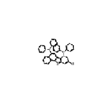 ClC1=Cc2sc3c(cc(N(c4ccccc4)c4ccccc4)c4ccccc43)c2C(N(C2=CCCC=C2)c2ccccc2)C1